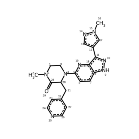 CN1CCN(c2ccc3[nH]nc(-c4cnn(C)c4)c3n2)C(Cc2ccncc2)C1=O